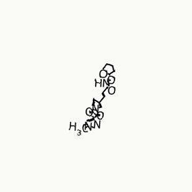 Cn1cnc(S(=O)(=O)n2ccc(C=CC(=O)NOC3CCCCO3)c2)c1